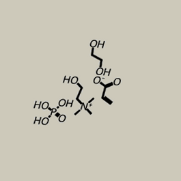 C=CC(=O)[O-].C[N+](C)(C)CCO.O=P(O)(O)O.OCCO